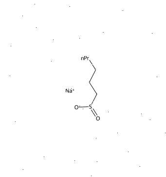 CCCCCCS(=O)[O-].[Na+]